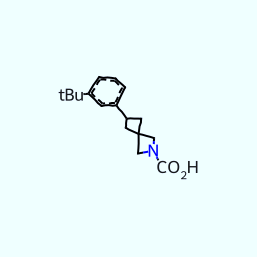 CC(C)(C)c1cccc(C2CC3(C2)CN(C(=O)O)C3)c1